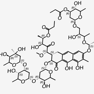 CCC(=O)O[C@H](C)[C@H](O)C(=O)[C@@H](OC)[C@@H]1Cc2cc3cc(O[C@@H](CC)OC(C)[C@@H](O)CO[C@H]4C[C@@H](OC(=O)CC)[C@H](O)C(C)O4)c(C)c(O)c3c(O)c2C(=O)[C@H]1O[C@H]1C[C@@H](O[C@H]2C[C@@H](O[C@H]3C[C@](C)(O)[C@H](O)C(C)O3)[C@@H](O)C(C)O2)[C@H](O)C(C)O1